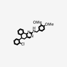 COc1ccc(CNc2ncc3c(n2)-c2ccccc2C(c2ccccc2Cl)C3)cc1OC